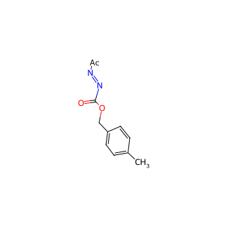 CC(=O)/N=N/C(=O)OCc1ccc(C)cc1